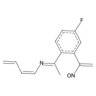 C=C/C=C\N=C(/C)c1ccc(F)cc1C(=C)N=O